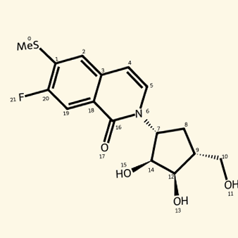 CSc1cc2ccn([C@@H]3C[C@H](CO)[C@@H](O)[C@H]3O)c(=O)c2cc1F